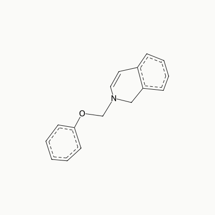 C1=CN(COc2ccccc2)Cc2ccccc21